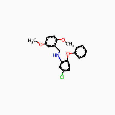 COc1ccc(OC)c(CNc2cc(Cl)ccc2Oc2ccccc2)c1